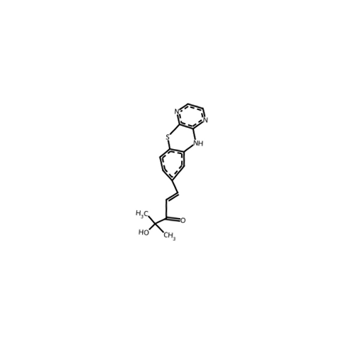 CC(C)(O)C(=O)C=Cc1ccc2c(c1)Nc1nccnc1S2